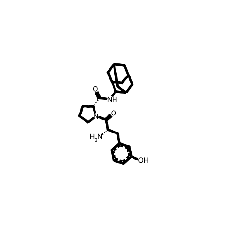 N[C@@H](Cc1cccc(O)c1)C(=O)N1CCC[C@@H]1C(=O)NC1C2CC3CC(C2)CC1C3